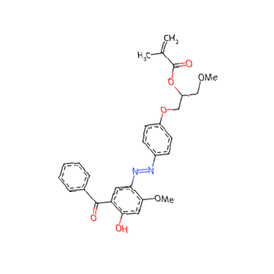 C=C(C)C(=O)OC(COC)COc1ccc(N=Nc2cc(C(=O)c3ccccc3)c(O)cc2OC)cc1